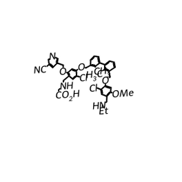 CCNCc1cc(Cl)c(OCc2cccc(-c3cccc(COc4cc(OCc5cncc(C#N)c5)c(CNCC(=O)O)cc4Cl)c3C)c2C)cc1OC